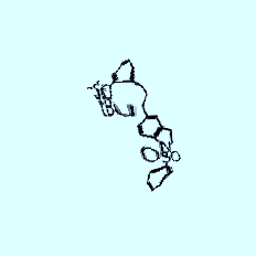 CC(C)(C)[Si](C)(C)Oc1ccccc1CCc1ccc2c(ccn2S(=O)(=O)c2ccccc2)c1